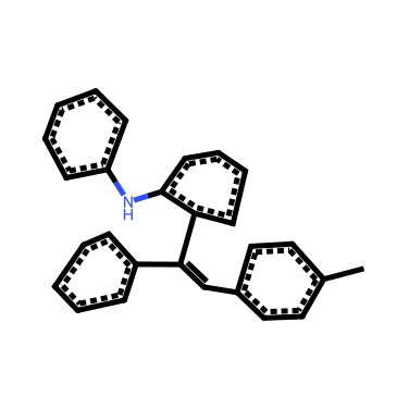 Cc1ccc(C=C(c2ccccc2)c2ccccc2Nc2ccccc2)cc1